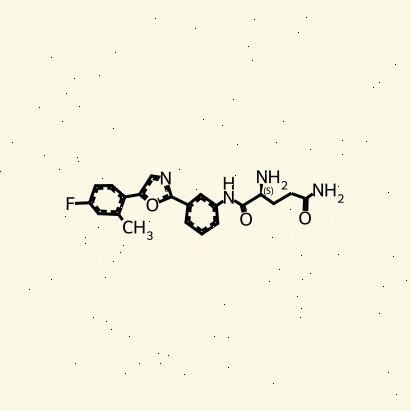 Cc1cc(F)ccc1-c1cnc(-c2cccc(NC(=O)[C@@H](N)CCC(N)=O)c2)o1